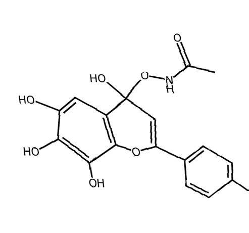 CC(=O)NOC1(O)C=C(c2ccc(Cl)cc2)Oc2c1cc(O)c(O)c2O